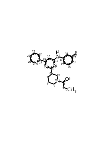 CCC(=O)N1CCCC(c2nc(Nc3cccc(F)c3)cc(-c3ccccn3)n2)C1